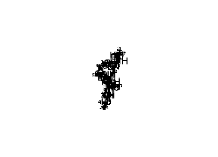 C=CC[C@H](NC(=O)[C@H](CCCCN=C(NC(=O)OC(C)(C)C)NC(=O)OC(C)(C)C)NC(=O)[C@H](Cc1ccc(O[C@H](I)C=C)cc1)NC(=O)OC)C(=O)OC